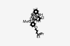 CCN(CCCOc1ccc(OC)c(Nc2ncc(Cl)c(Nc3ccccc3NS(C)(=O)=O)n2)c1)C(C)C